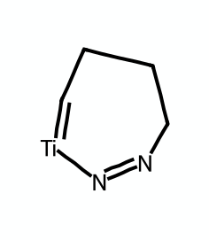 [CH]1=[Ti][N]=NCCC1